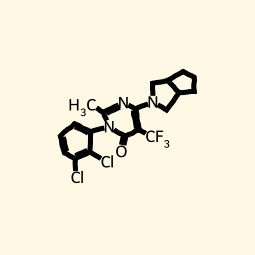 Cc1nc(N2CC3CCCC3C2)c(C(F)(F)F)c(=O)n1-c1cccc(Cl)c1Cl